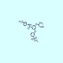 C[C@@H](CO)Oc1cc(Oc2cccc(S(C)(=O)=O)c2)cc(C(=O)Nc2ccn(C)n2)c1